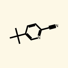 CC(C)(C)c1ccc(C#N)nc1